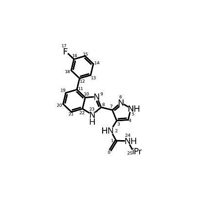 C=C(Nc1c[nH]nc1-c1nc2c(-c3cccc(F)c3)cccc2[nH]1)NC(C)C